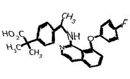 CC(Nc1nccc2cccc(Oc3ccc(F)cc3)c12)c1ccc(C(C)(C)C(=O)O)cc1